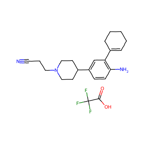 N#CCCN1CCC(c2ccc(N)c(C3=CCCCC3)c2)CC1.O=C(O)C(F)(F)F